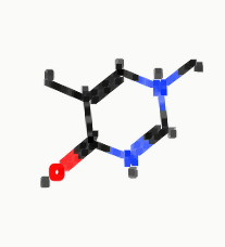 Cc1cn(C)cnc1=O